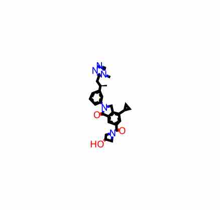 C[C@H](Cc1nncn1C)c1cccc(N2Cc3c(cc(C(=O)N4CC(O)C4)cc3C3CC3)C2=O)c1